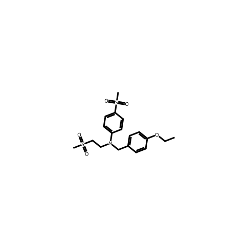 CCOc1ccc(CN(CCS(C)(=O)=O)c2ccc(S(C)(=O)=O)cc2)cc1